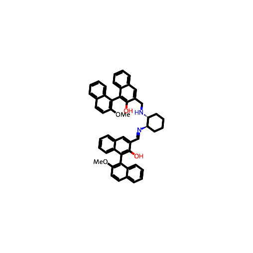 COc1ccc2ccccc2c1-c1c(O)c(/C=N/[C@@H]2CCCC[C@H]2NCc2cc3ccccc3c(-c3c(OC)ccc4ccccc34)c2O)cc2ccccc12